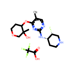 CC1(O)COCCC1Oc1nc(N[C@H]2CCNC[C@H]2F)ncc1C#N.O=C(O)C(F)(F)F